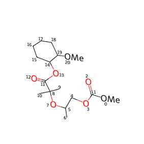 COC(=O)OCC(C)OC(C)(C)C(=O)OC1CCCCC1OC